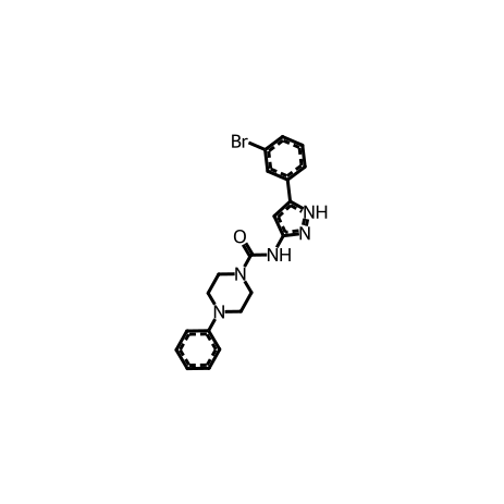 O=C(Nc1cc(-c2cccc(Br)c2)[nH]n1)N1CCN(c2ccccc2)CC1